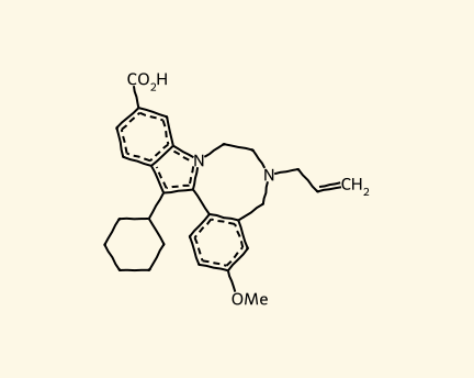 C=CCN1CCn2c(c(C3CCCCC3)c3ccc(C(=O)O)cc32)-c2ccc(OC)cc2C1